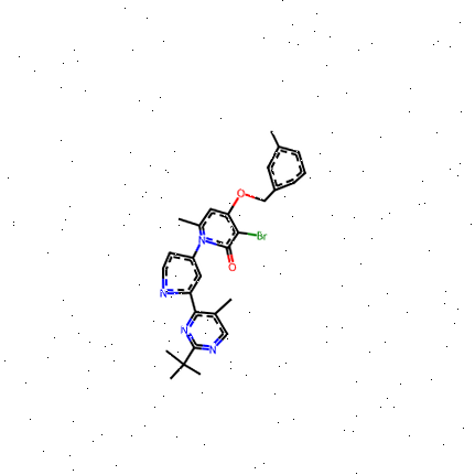 Cc1cccc(COc2cc(C)n(-c3ccnc(-c4nc(C(C)(C)C)ncc4C)c3)c(=O)c2Br)c1